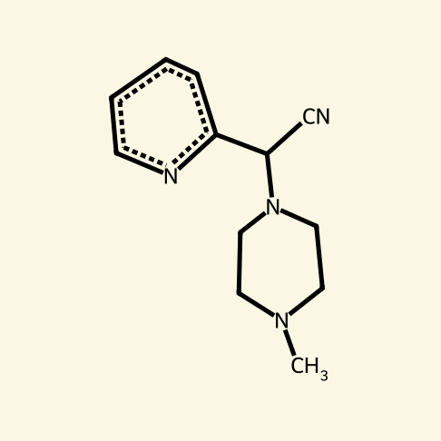 CN1CCN(C(C#N)c2ccccn2)CC1